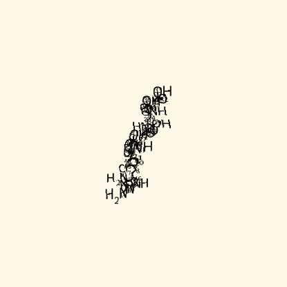 Nc1nc(N)c2c(CCc3ccc(C(=O)N[C@@H](CCC(=O)N[C@@H](CCC(=O)N[C@@H](CCC(=O)O)C(=O)O)C(=O)O)C(=O)O)cc3Cl)c[nH]c2n1